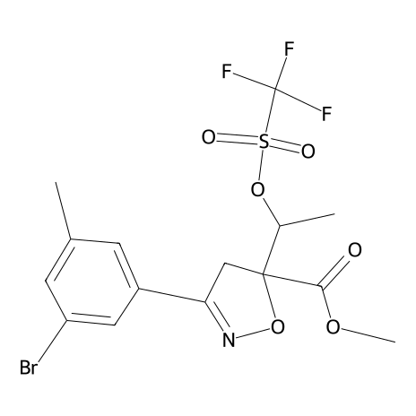 COC(=O)C1(C(C)OS(=O)(=O)C(F)(F)F)CC(c2cc(C)cc(Br)c2)=NO1